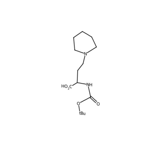 CC(C)(C)OC(=O)NC(CCN1CCCCC1)C(=O)O